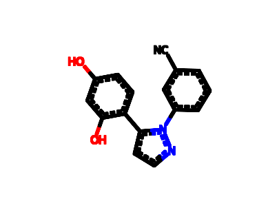 N#Cc1cccc(-n2nccc2-c2ccc(O)cc2O)c1